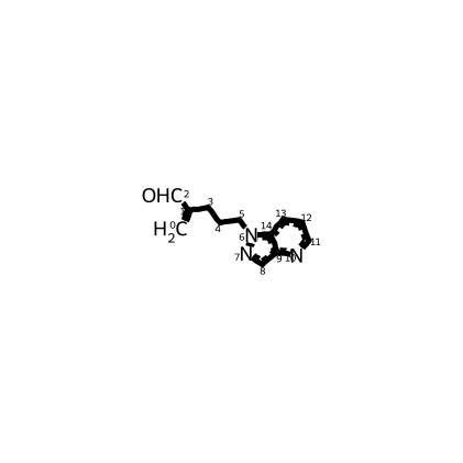 C=C(C=O)CCCn1ncc2ncccc21